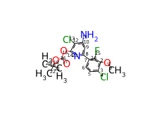 COc1c(Cl)ccc(-c2cc(N)c(Cl)c(OC(=O)OC(C)(C)C)n2)c1F